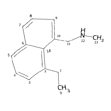 CCc1cccc2cccc(CNC)c12